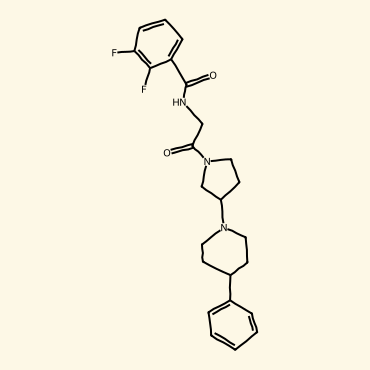 O=C(NCC(=O)N1CCC(N2CCC(c3ccccc3)CC2)C1)c1cccc(F)c1F